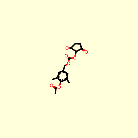 CC(=O)Oc1c(C)cc(COC(=O)OC2C(=O)CCC2=O)cc1C